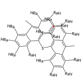 Cc1c2[c]([RaH])[c]([RaH])[c]([RaH])[c]([RaH])c2c(Sc2c3[c]([RaH])[c]([RaH])[c]([RaH])[c]([RaH])c3c(C)c3[c]([RaH])[c]([RaH])[c]([RaH])[c]([RaH])c23)c2[c]([RaH])[c]([RaH])[c]([RaH])[c]([RaH])c12